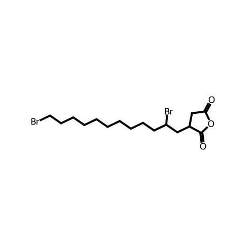 O=C1CC(CC(Br)CCCCCCCCCCBr)C(=O)O1